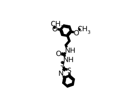 COc1ccc(OC)c(CCNC(=O)NSc2nc3ccccc3s2)c1